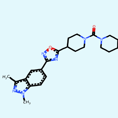 Cc1nn(C)c2ccc(-c3noc(C4CCN(C(=O)N5CCCCC5)CC4)n3)cc12